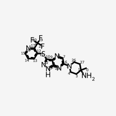 CC1(N)CCN(c2cnc3c(Sc4cccnc4C(F)(F)F)n[nH]c3n2)CC1